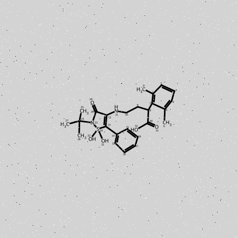 Cc1cccc(C)c1C(CCNC1=C(c2ccccc2)S(O)(O)N(C(C)(C)C)C1=O)C(=O)O